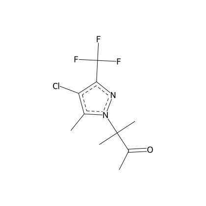 CC(=O)C(C)(C)n1nc(C(F)(F)F)c(Cl)c1C